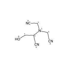 N#CCN(CC#N)C(C#N)CO